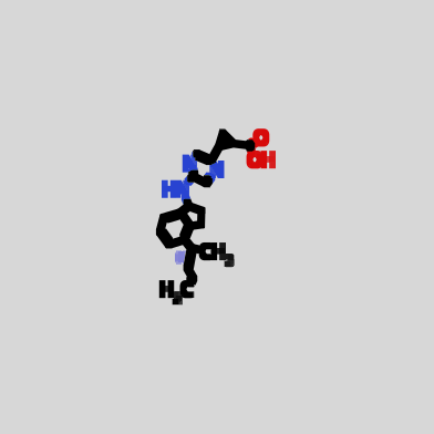 C=C/C=C(\C)c1cccc2c1CCC2Nc1cnc(C2CC2C(=O)O)cn1